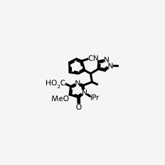 COc1c(C(=O)O)nc(C(C)C(c2cnn(C)c2)c2ccccc2C#N)n(C(C)C)c1=O